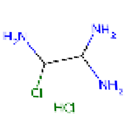 Cl.NC(N)C(N)Cl